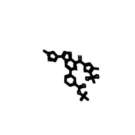 Cc1cc(Nc2nc(C3=CCCN(C(=O)OC(C)(C)C)C3)cn3c(C4C=NN(C)C4)cnc23)sc1S(C)(=O)=O